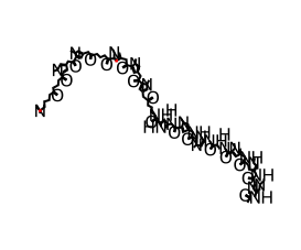 CC(=O)Nc1cn(C)c(C(=O)Nc2cc(C(=O)Nc3cc(C(=O)NCCC(=O)Nc4cn(C)c(C(=O)Nc5cc(C(=O)Nc6c[nH]c(C(=O)NCCCC(=O)Cc7cc(C(=O)Cc8cc(C(=O)Cc9cc(C(=O)CCCC(=O)Cc%10cc(C(=O)Cc%11cc(C(=O)CCCC(=O)CCCCN(C)C)n(C)c%11)n(C)c%10)n(C)c9)n(C)c8)n(C)c7)c6)n(C)c5)n4)n(C)c3)n(C)c2)n1